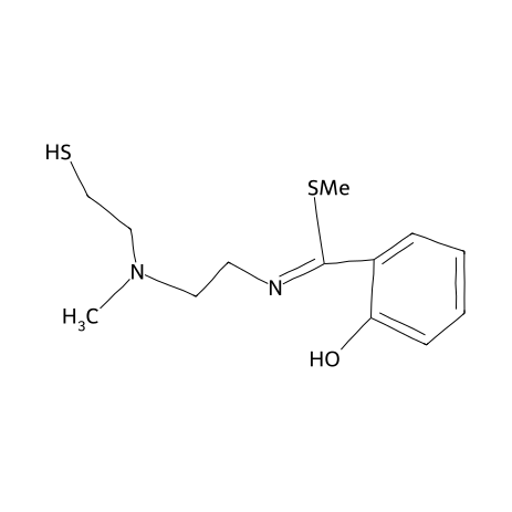 CS/C(=N\CCN(C)CCS)c1ccccc1O